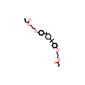 C=CC(=O)OCCCOc1ccc(C2(C)CCC(C(C)(C)c3ccc(OCCCOC(=O)C=C)cc3)CC2)cc1